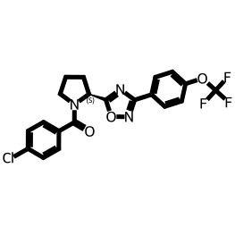 O=C(c1ccc(Cl)cc1)N1CCC[C@H]1c1nc(-c2ccc(OC(F)(F)F)cc2)no1